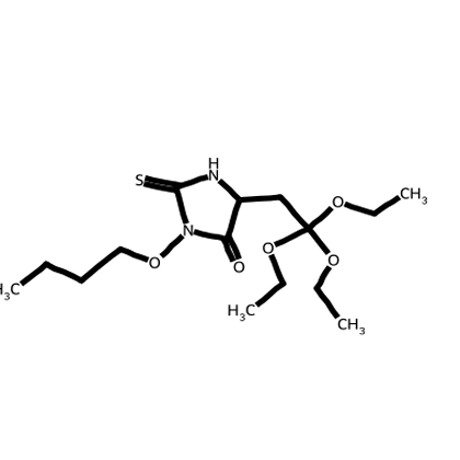 CCCCON1C(=O)C(CC(OCC)(OCC)OCC)NC1=S